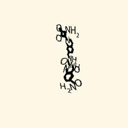 NC(=O)c1ccc2nc(C(=O)NCc3ccc4c(c3)CN(c3c(N)c(=O)c3=O)CC4)[nH]c(=O)c2c1